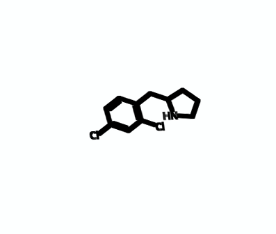 Clc1ccc(CC2CCCN2)c(Cl)c1